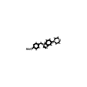 COc1ccc(Cn2cnc3cc(N4CCOCC4)ccc32)cc1